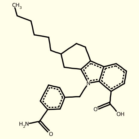 CCCCCCC1CCc2c(n(Cc3cccc(C(N)=O)c3)c3c(C(=O)O)cccc23)C1